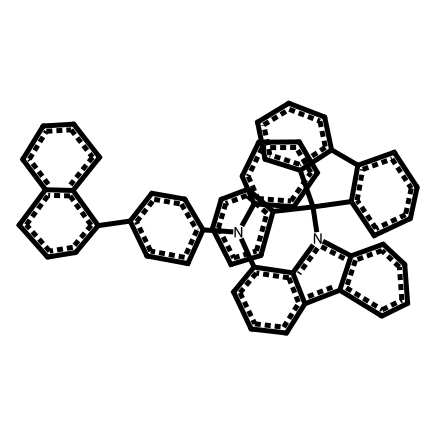 c1ccc(N(c2ccc(-c3cccc4ccccc34)cc2)c2cccc3c4ccccc4n(C4(c5ccccc5)c5ccccc5-c5ccccc54)c23)cc1